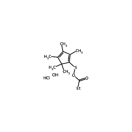 CCC(=O)[O][Ti][C]1=C(C)C(C)=C(C)C1(C)C.Cl.Cl